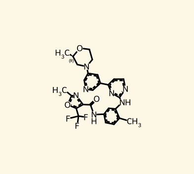 Cc1nc(C(=O)Nc2ccc(C)c(Nc3nccc(-c4cncc(N5CCO[C@H](C)C5)c4)n3)c2)c(C(F)(F)F)o1